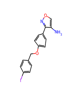 Nc1conc1-c1ccc(OCc2ccc(I)cc2)cc1